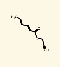 C#CCOC(=O)C=CC=CC